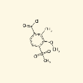 COc1c(S(C)(=O)=O)ccc(C(=O)Cl)c1C